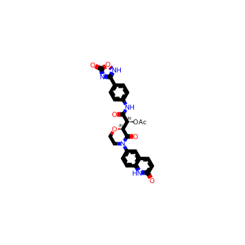 CC(=O)O[C@@H](C(=O)Nc1ccc(-c2nc(=O)o[nH]2)cc1)[C@H]1OCCN(c2ccc3[nH]c(=O)ccc3c2)C1=O